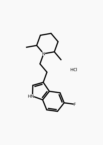 CC1CCCC(C)N1CCc1c[nH]c2ccc(F)cc12.Cl